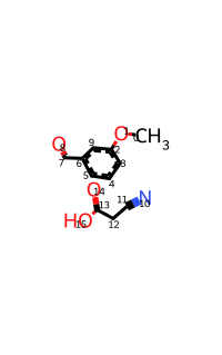 COc1cccc(C=O)c1.N#CCC(=O)O